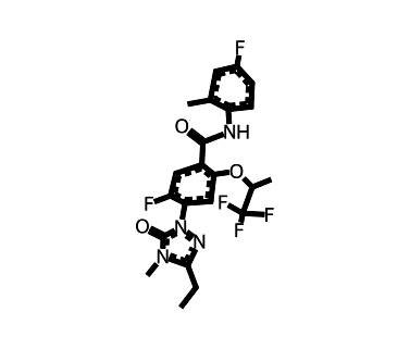 CCc1nn(-c2cc(OC(C)C(F)(F)F)c(C(=O)Nc3ccc(F)cc3C)cc2F)c(=O)n1C